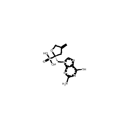 C=C1CO[C@](Cn2cnc3c(O)nc(N)nc32)(P(=O)(O)O)C1